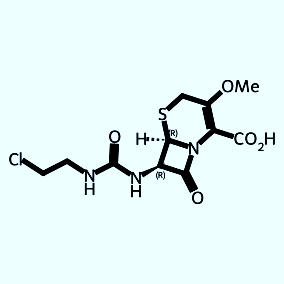 COC1=C(C(=O)O)N2C(=O)[C@@H](NC(=O)NCCCl)[C@H]2SC1